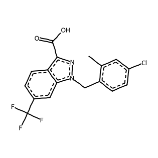 Cc1cc(Cl)ccc1Cn1nc(C(=O)O)c2ccc(C(F)(F)F)cc21